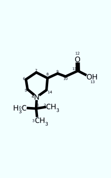 CC(C)(C)N1CCCC(CCC(=O)O)C1